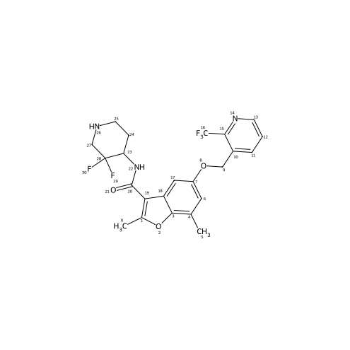 Cc1oc2c(C)cc(OCc3cccnc3C(F)(F)F)cc2c1C(=O)NC1CCNCC1(F)F